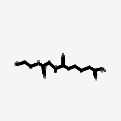 CC(=O)CCCCC(=O)NCC(=O)OCCS